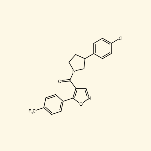 O=C(c1cnoc1-c1ccc(C(F)(F)F)cc1)N1CCC(c2ccc(Cl)cc2)C1